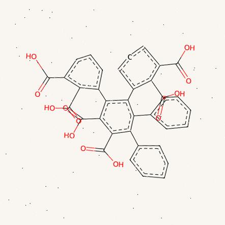 O=C(O)c1cccc(-c2c(C(=O)O)c(C(=O)O)c(-c3ccccc3)c(-c3ccccc3)c2-c2cccc(C(=O)O)c2C(=O)O)c1C(=O)O